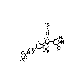 COc1cc(-c2c(CC(F)(F)F)c(-c3ccc(N4CCN(C(=O)OC(C)(C)C)CC4)cn3)nn2COCC[Si](C)(C)C)cn2ncnc12